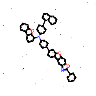 c1ccc(-c2nc3cc4c(cc3o2)oc2cc(-c3ccc(N(c5ccc(-c6cccc7ccccc67)cc5)c5cccc6c5oc5ccccc56)cc3)ccc24)cc1